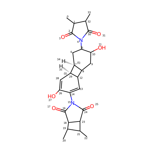 CC1C(=O)N(C2C[C@H]3C(CC2O)C2C=C(N4C(=O)C5C(C)C(C)C5C4=O)C(O)=C[C@H]23)C(=O)C1C